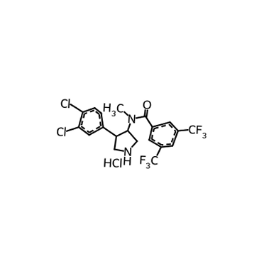 CN(C(=O)c1cc(C(F)(F)F)cc(C(F)(F)F)c1)C1CNCC1c1ccc(Cl)c(Cl)c1.Cl